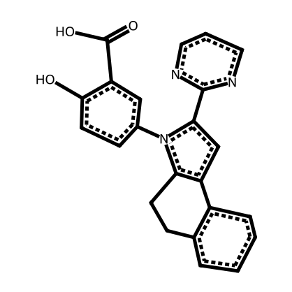 O=C(O)c1cc(-n2c(-c3ncccn3)cc3c2CCc2ccccc2-3)ccc1O